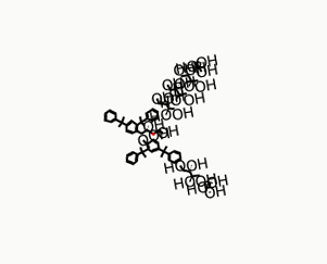 CC(C)(c1ccccc1)c1ccc(OC(c2ccc(C(C)(C)c3ccccc3)cc2C(C)(C)c2ccccc2)[C@H](O)[C@H](O)CO)c(C(C)(C)c2ccccc2)c1.OC[C@@H](O)[C@@H](O)CO.OC[C@@H](O)[C@@H](O)CO.OC[C@@H](O)[C@@H](O)CO.OC[C@@H](O)[C@@H](O)CO.OP(O)O.OP(O)O